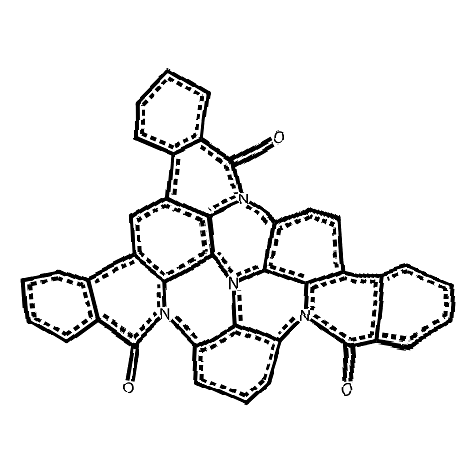 O=c1c2ccccc2c2ccc3c4c2n1c1cccc2c1n4c1c4c(cc5c6ccccc6c(=O)n3c51)c1ccccc1c(=O)n24